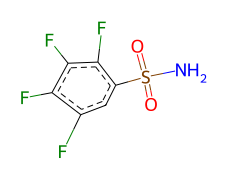 NS(=O)(=O)c1cc(F)c(F)c(F)c1F